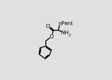 CCCCCC(N)C(=O)OCc1ccccc1